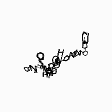 O=S(=O)(NCc1ccc(N2CCN(CC3=C(c4ccc(Cl)cc4)CCCC3)CC2)cc1)c1ccc(N[C@H](CCN(Cc2ccccc2)C2CC2)CSc2ccccc2)c(S(=O)(=O)C(F)(F)F)c1